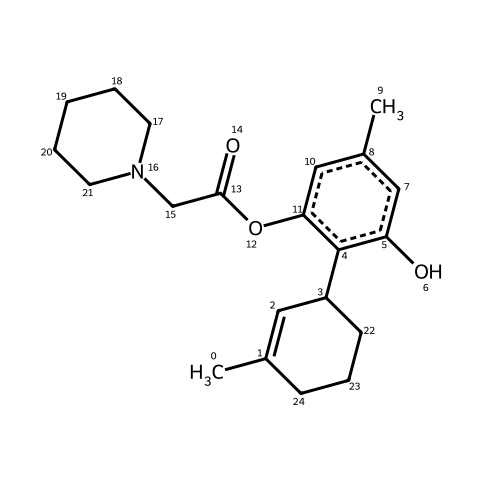 CC1=CC(c2c(O)cc(C)cc2OC(=O)CN2CCCCC2)CCC1